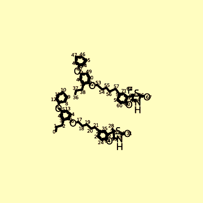 CCCc1cc(Oc2ccccc2)ccc1OCCCCCc1cccc(C2(C)SC(=O)NC2=O)c1.CCCc1cc(Oc2ccccc2)ccc1OCCCCCc1cccc(C2(F)SC(=O)NC2=O)c1